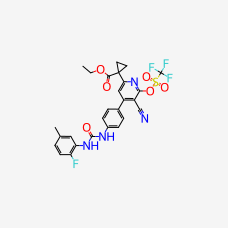 CCOC(=O)C1(c2cc(-c3ccc(NC(=O)Nc4cc(C)ccc4F)cc3)c(C#N)c(OS(=O)(=O)C(F)(F)F)n2)CC1